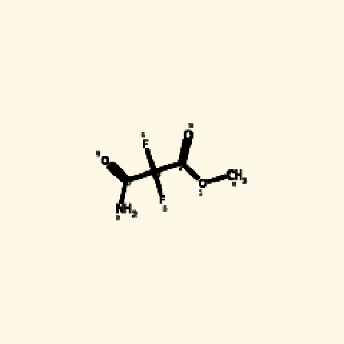 COC(=O)C(F)(F)C(N)=O